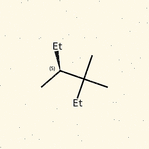 CC[C@H](C)C(C)(C)CC